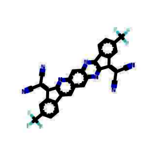 N#CC(C#N)=C1c2cc(C(F)(F)F)ccc2-c2cc3cc4nc5c(nc4cc3nc21)-c1ccc(C(F)(F)F)cc1C5=C(C#N)C#N